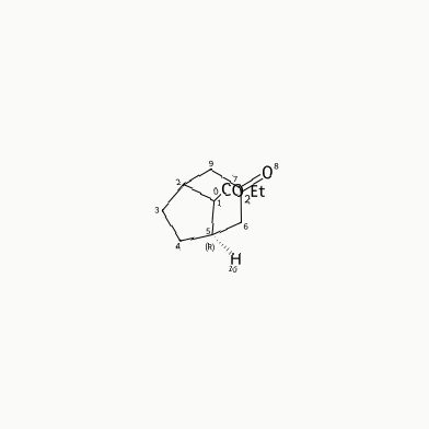 CCOC(=O)C1C2CC[C@@H]1CC(=O)C2